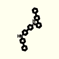 c1ccc(-c2ccc(Nc3ccc(-c4ccc(Nc5ccccc5-c5ccc(-c6ccccc6)cc5)cc4)cc3)cc2)cc1